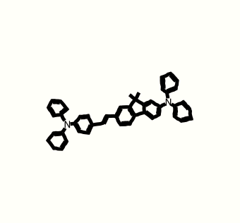 CC1(C)c2cc(/C=C/c3ccc(N(C4=CCCC=C4)c4ccccc4)cc3)ccc2-c2ccc(N(c3ccccc3)c3ccccc3)cc21